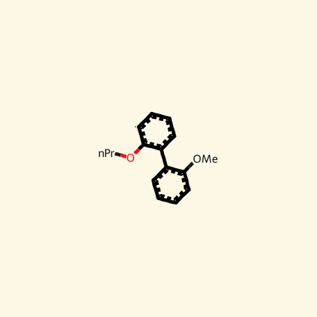 CCCOc1[c]cccc1-c1ccccc1OC